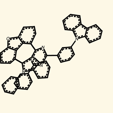 c1ccc(-c2nc(-c3cccc(-n4c5ccccc5c5ccccc54)c3)nc(-c3cccc4oc5cccc(-c6nc7ccccc7n6-c6ccccc6)c5c34)n2)cc1